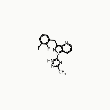 Fc1c(I)cccc1Cc1nn(-c2nc(C(F)(F)F)n[nH]2)c2cccnc12